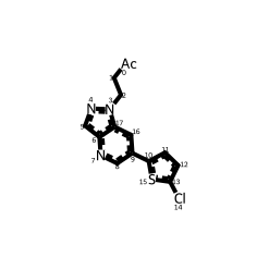 CC(=O)CCn1ncc2ncc(-c3ccc(Cl)s3)cc21